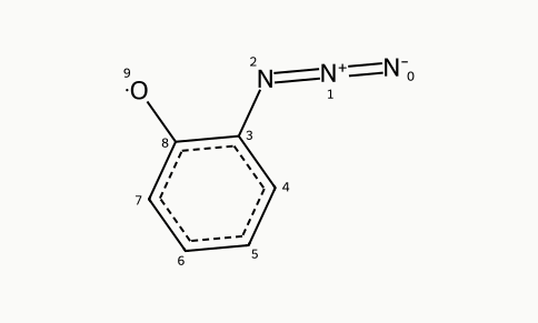 [N-]=[N+]=Nc1ccccc1[O]